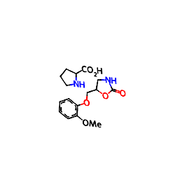 COc1ccccc1OCC1CNC(=O)O1.O=C(O)C1CCCN1